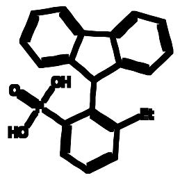 CCc1cccc(P(=O)(O)O)c1C1c2ccccc2-c2ccccc21